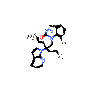 C=CCC(CC=C)(CN(C(N)=O)c1c(C(C)C)cccc1C(C)C)n1ccc2cccnc21